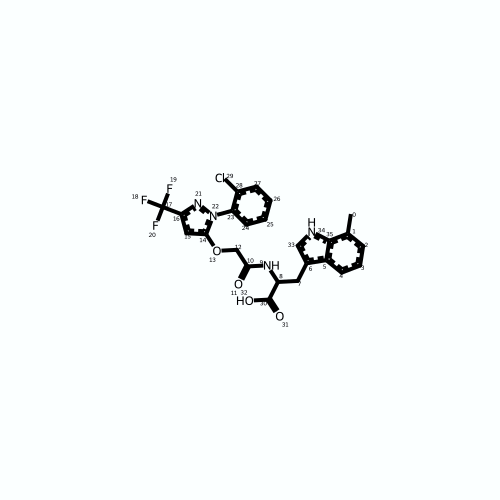 Cc1cccc2c(CC(NC(=O)COc3cc(C(F)(F)F)nn3-c3ccccc3Cl)C(=O)O)c[nH]c12